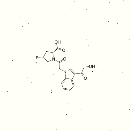 O=C(CO)c1cn(CC(=O)N2C[C@H](F)C[C@H]2C(=O)O)c2ccccc12